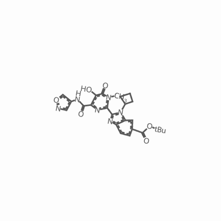 Cn1c(-c2nc3ccc(C(=O)OC(C)(C)C)cc3n2C2CCC2)nc(C(=O)Nc2cnoc2)c(O)c1=O